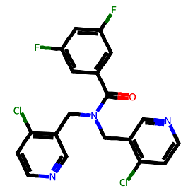 O=C(c1cc(F)cc(F)c1)N(Cc1cnccc1Cl)Cc1cnccc1Cl